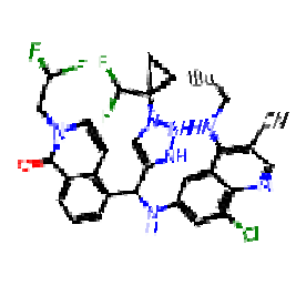 CC(C)(C)CNc1c(C#N)cnc2c(Cl)cc(N[C@H](C3=CN(C4(C(F)F)CC4)NN3)c3cccc4c(=O)n(CC(F)F)ccc34)cc12